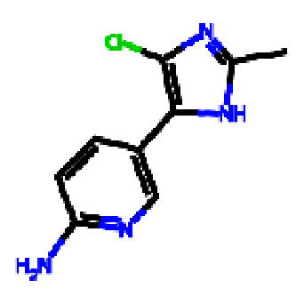 Cc1nc(Cl)c(-c2ccc(N)nc2)[nH]1